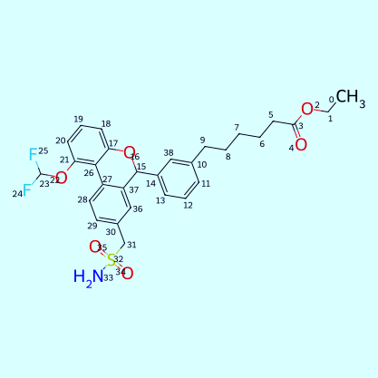 CCOC(=O)CCCCCc1cccc(C2Oc3cccc(OC(F)F)c3-c3ccc(CS(N)(=O)=O)cc32)c1